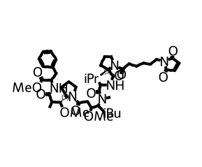 CCC(C)C(C(CC(=O)N1CCC[C@H]1C(OC)C(C)C(=O)NC(Cc1ccccc1)C(=O)OC)OC)N(C)C(=O)C(NC(=O)[C@]1(C)CCCN1C(=O)CCCCCN1C(=O)C=CC1=O)C(C)C